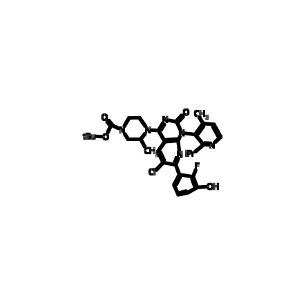 Cc1ccnc(C(C)C)c1-n1c(=O)nc(N2CCN(C(=O)OC(C)(C)C)CC2C)c2cc(Cl)c(-c3cccc(O)c3F)nc21